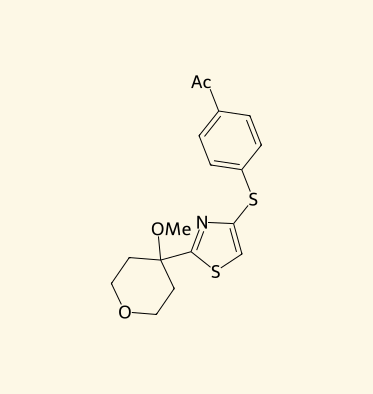 COC1(c2nc(Sc3ccc(C(C)=O)cc3)cs2)CCOCC1